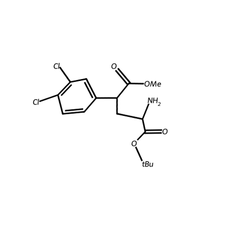 COC(=O)C(CC(N)C(=O)OC(C)(C)C)c1ccc(Cl)c(Cl)c1